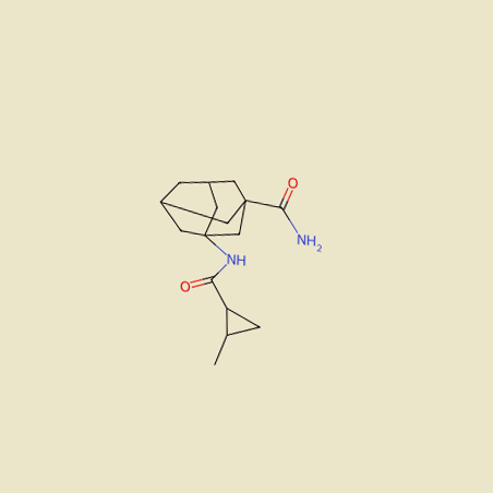 CC1CC1C(=O)NC12CC3CC(C1)CC(C(N)=O)(C3)C2